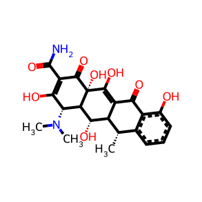 C[C@H]1c2cccc(O)c2C(=O)C2=C(O)[C@]3(O)C(=O)C(C(N)=O)=C(O)[C@@H](N(C)C)C3[C@@H](O)C21